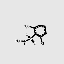 CNS(=O)(=O)c1c(C)cccc1Cl